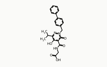 CC(C)c1nn(Cc2ccc(-c3ccccc3)cc2)c(=O)c(C(=O)NCC(=O)O)c1O